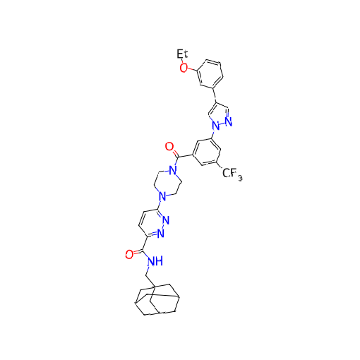 CCOc1cccc(-c2cnn(-c3cc(C(=O)N4CCN(c5ccc(C(=O)NCC67CC8CC(CC(C8)C6)C7)nn5)CC4)cc(C(F)(F)F)c3)c2)c1